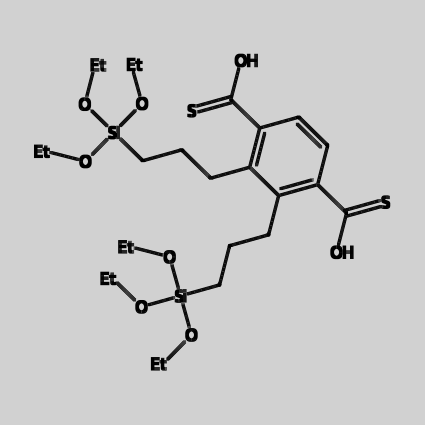 CCO[Si](CCCc1c(C(O)=S)ccc(C(O)=S)c1CCC[Si](OCC)(OCC)OCC)(OCC)OCC